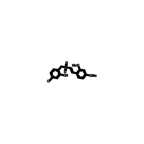 COc1ccc(C=CS(=O)(=O)Cc2ccc(Cl)cc2O)c(OC)c1